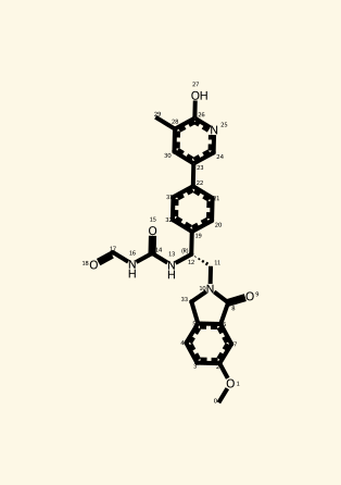 COc1ccc2c(c1)C(=O)N(C[C@H](NC(=O)NC=O)c1ccc(-c3cnc(O)c(C)c3)cc1)C2